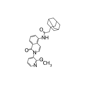 COc1ncccc1-n1ccc2c(NC(=O)CC34CC5CC(CC(C5)C3)C4)cccc2c1=O